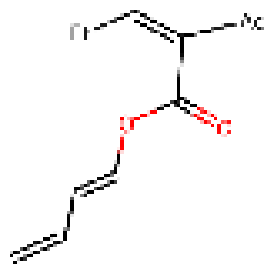 C=CC=COC(=O)C(=CCC)C(C)=O